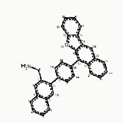 NCc1cc2ccccc2cc1-c1ccc(-c2c3ccccc3cc3c2oc2ccccc23)cc1